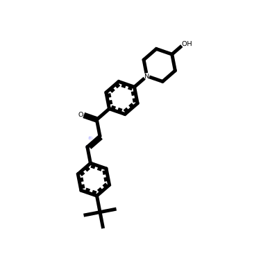 CC(C)(C)c1ccc(/C=C/C(=O)c2ccc(N3CCC(O)CC3)cc2)cc1